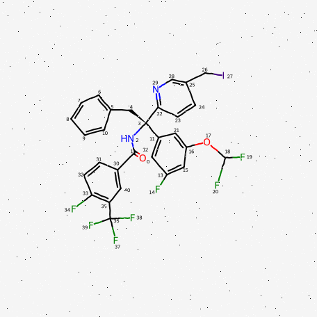 O=C(N[C@@](Cc1ccccc1)(c1cc(F)cc(OC(F)F)c1)c1ccc(CI)cn1)c1ccc(F)c(C(F)(F)F)c1